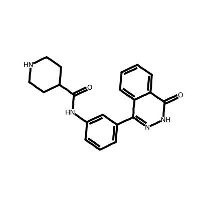 O=C(Nc1cccc(-c2n[nH]c(=O)c3ccccc23)c1)C1CCNCC1